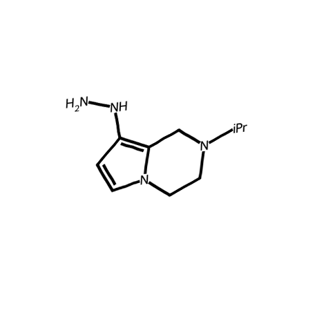 CC(C)N1CCn2ccc(NN)c2C1